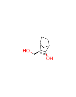 OC[C@H]1C2CCC(C2)[C@H]1O